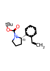 C=Cc1ccccc1[C@@H]1CCCN1C(=O)OC(C)(C)C